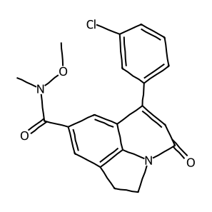 CON(C)C(=O)c1cc2c3c(c1)c(-c1cccc(Cl)c1)cc(=O)n3CC2